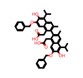 Cc1cc2c(C(C)C)c(O)c(OCc3ccccc3)cc2c(CC(=O)O)c1-c1c(C)cc2c(C(C)C)c(O)c(OCc3ccccc3)cc2c1CC(=O)O